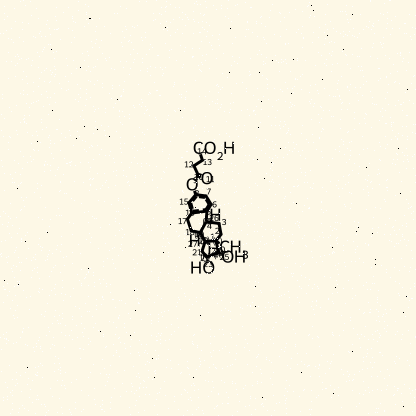 C[C@]12CC[C@@H]3c4ccc(OC(=O)CCC(=O)O)cc4CC[C@H]3[C@@H]1C[C@@H](O)[C@@H]2O